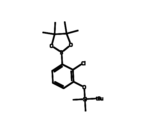 CC1(C)OB(c2cccc(O[Si](C)(C)C(C)(C)C)c2Cl)OC1(C)C